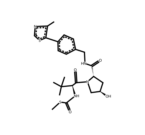 CSC(=O)N[C@H](C(=O)N1C[C@H](O)C[C@H]1C(=O)NCc1ccc(-c2scnc2C)cc1)C(C)(C)C